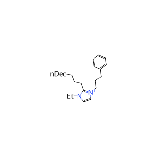 CCCCCCCCCCCCCc1n(CC)cc[n+]1CCCc1ccccc1